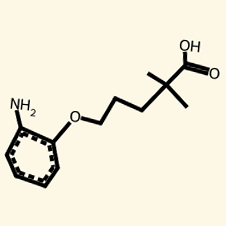 CC(C)(CCCOc1ccccc1N)C(=O)O